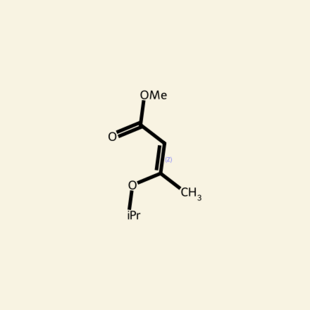 COC(=O)/C=C(/C)OC(C)C